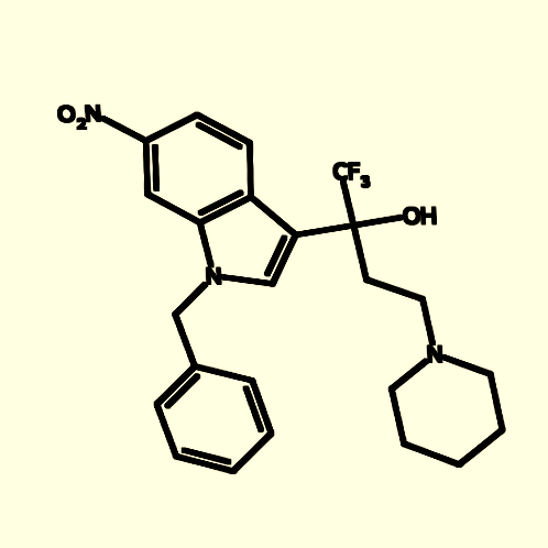 O=[N+]([O-])c1ccc2c(C(O)(CCN3CCCCC3)C(F)(F)F)cn(Cc3ccccc3)c2c1